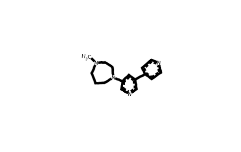 CN1CCCN(c2cncc(-c3ccncc3)c2)CC1